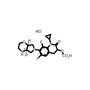 Cl.O=C(O)OC1Cc2cc(F)c(N3C[C@@H]4OCCN[C@@H]4C3)c(F)c2N(C2CC2)C1=O